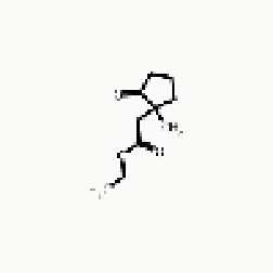 CCOC(=O)CC1(C)CCCC1=O